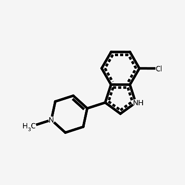 CN1CC=C(c2c[nH]c3c(Cl)cccc23)CC1